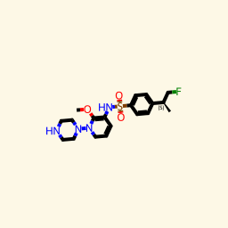 COC1=C(NS(=O)(=O)c2ccc([C@H](C)CF)cc2)C=CCN1N1CCNCC1